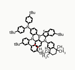 Cc1cc2c3c(c1)N(c1ccc4c(c1)C(C)(C)CCC4(C)C)c1c(sc4ccc(C(C)(C)C)cc14)B3c1ccc(N(c3ccc(C(C)(C)C)cc3)c3ccc(C(C)(C)C)cc3)cc1N2c1ccc(C(C)(C)C)cc1-c1ccc(C(C)(C)C)cc1